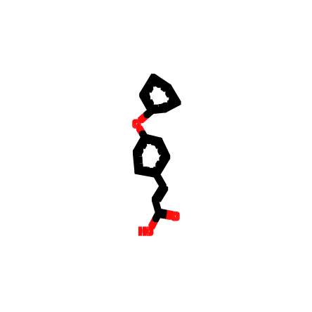 O=C(O)C=Cc1ccc(Oc2ccccc2)cc1